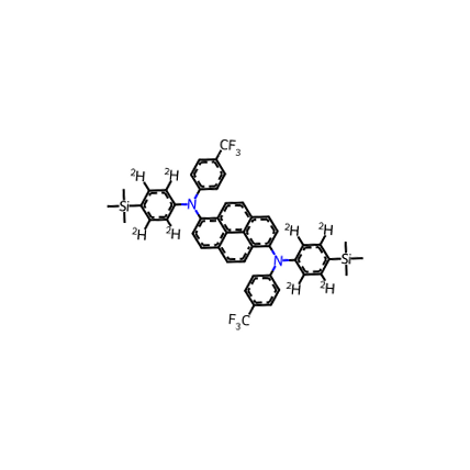 [2H]c1c([2H])c([Si](C)(C)C)c([2H])c([2H])c1N(c1ccc(C(F)(F)F)cc1)c1ccc2ccc3c(N(c4ccc(C(F)(F)F)cc4)c4c([2H])c([2H])c([Si](C)(C)C)c([2H])c4[2H])ccc4ccc1c2c43